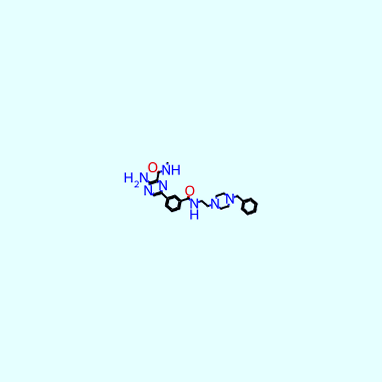 CNC(=O)c1nc(-c2cccc(C(=O)NCCN3CCN(Cc4ccccc4)CC3)c2)cnc1N